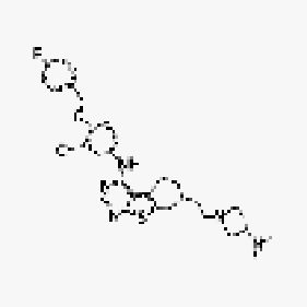 CN(C)[C@H]1CCN(CCC2CCc3c(sc4ncnc(Nc5ccc(OCc6ccc(F)cc6)c(Cl)c5)c34)C2)C1